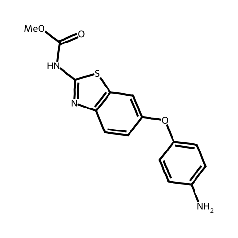 COC(=O)Nc1nc2ccc(Oc3ccc(N)cc3)cc2s1